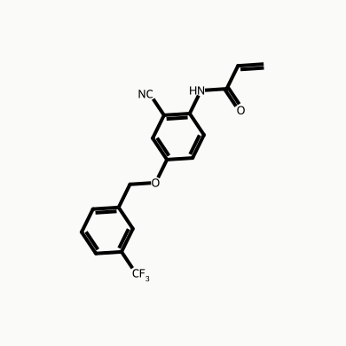 C=CC(=O)Nc1ccc(OCc2cccc(C(F)(F)F)c2)cc1C#N